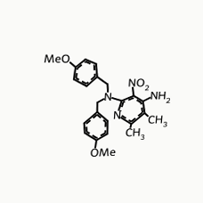 COc1ccc(CN(Cc2ccc(OC)cc2)c2nc(C)c(C)c(N)c2[N+](=O)[O-])cc1